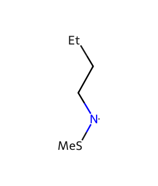 CCCC[N]SC